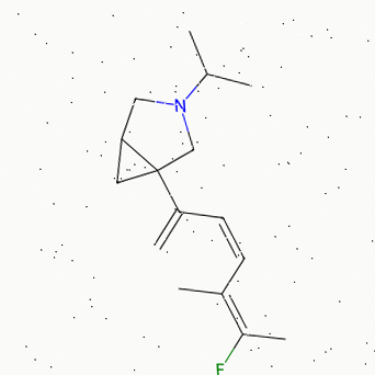 C=C(/C=C\C(C)=C(/C)F)C12CC1CN(C(C)C)C2